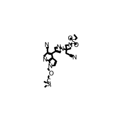 CCS(=O)(=O)N1CC(CC#N)(n2cc(-c3c(C#N)cnc4c3ccn4COCC[Si](C)(C)C)cn2)C1